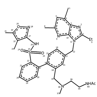 CCc1nc2c(C)cc(C)nc2n1Cc1ccc(-c2ccccc2S(=O)(=O)Nc2noc(C)c2C)c(CN(C)CCNC(C)=O)c1